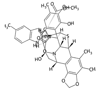 COc1c(C)cc2c(c1O)[C@H]1[C@@H]3[C@@H]4SC[C@]5(N[C@@H](C(=O)O)Cc6c5[nH]c5ccc(C)cc65)C(=O)OC[C@@H](c5c6c(c(C)c(C)c54)OCO6)N3[C@@H](O)[C@@H](C2)N1C